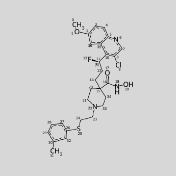 COc1ccc2ncc(Cl)c([C@H](F)CCC3(C(=O)NO)CCN(CCSc4cccc(C)c4)CC3)c2c1